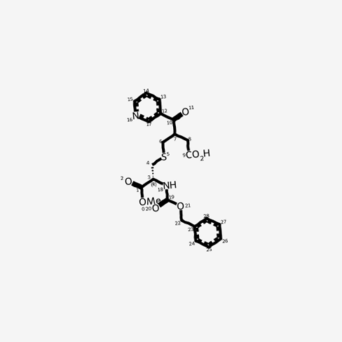 COC(=O)[C@H](CSCC(CC(=O)O)C(=O)c1cccnc1)NC(=O)OCc1ccccc1